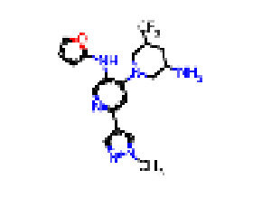 Cn1cc(-c2cc(N3CC(N)CC(C(F)(F)F)C3)c(Nc3ccco3)cn2)cn1